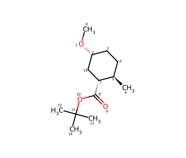 CO[C@@H]1CC[C@@H](C)[C@H](C(=O)OC(C)(C)C)C1